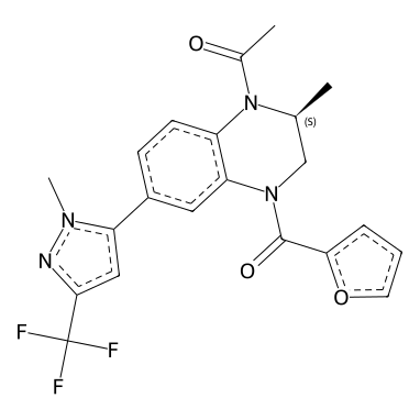 CC(=O)N1c2ccc(-c3cc(C(F)(F)F)nn3C)cc2N(C(=O)c2ccco2)C[C@@H]1C